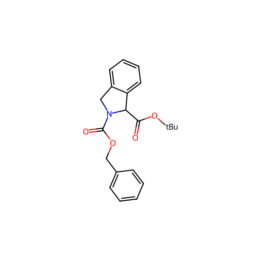 CC(C)(C)OC(=O)C1c2ccccc2CN1C(=O)OCc1ccccc1